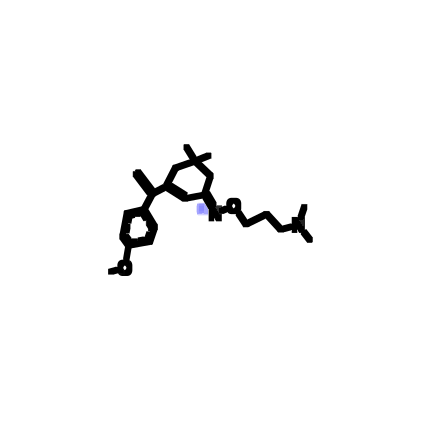 C=C(C1=C/C(=N/OCCCN(C)C)CC(C)(C)C1)c1ccc(OC)cc1